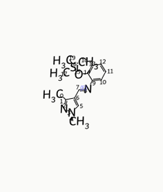 Cc1nn(C)cc1/C=N/c1ccccc1O[Si](C)(C)C